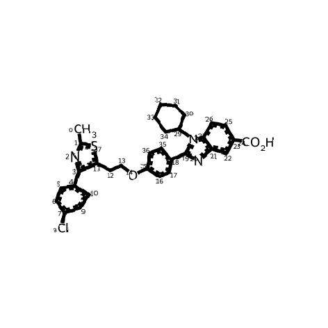 Cc1nc(-c2ccc(Cl)cc2)c(CCOc2ccc(-c3nc4cc(C(=O)O)ccc4n3C3CCCCC3)cc2)s1